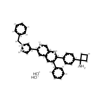 Cl.Cl.NC1(c2ccc(-c3nc4cnc(-c5cnn(Cc6ccccc6)c5)cc4cc3-c3ccccc3)cc2)CCC1